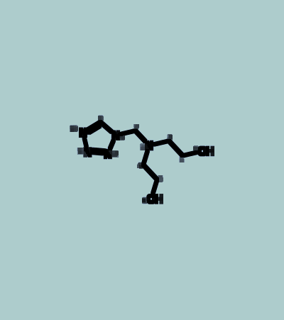 OCCN(CCO)Cn1cnnn1